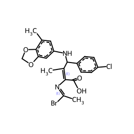 C/C(Br)=N\C(C(=O)O)=C(/C)C(Nc1cc(C)c2c(c1)OCO2)c1ccc(Cl)cc1